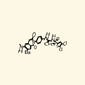 CNc1cc2c(cc1Br)C(=O)N(c1ccc(NC(=O)NS(=O)(=O)c3cc(Cl)c(Cl)s3)cc1)C(=O)C2